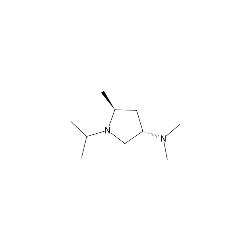 CC(C)N1C[C@@H](N(C)C)C[C@@H]1C